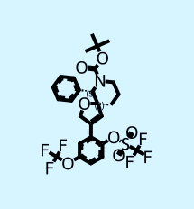 CC(C)(C)OC(=O)N1CCC[C@@]2(C=C(c3cc(OC(F)(F)F)ccc3OS(=O)(=O)C(F)(F)F)CO2)[C@@H]1c1ccccc1